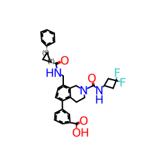 O=C(O)c1cccc(-c2ccc(CNC(=O)[C@@H]3C[C@@H]3c3ccccc3)c3c2CCN(C(=O)NC2CC(F)(F)C2)C3)c1